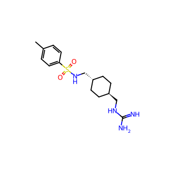 Cc1ccc(S(=O)(=O)NC[C@H]2CC[C@H](CNC(=N)N)CC2)cc1